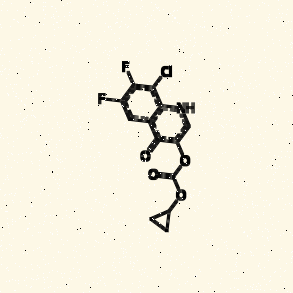 O=C(Oc1c[nH]c2c(Cl)c(F)c(F)cc2c1=O)OC1CC1